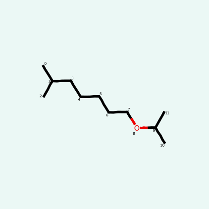 CC(C)CCCCCOC(C)C